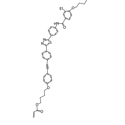 C=CC(=O)OCCCCOc1ccc(C#Cc2ccc(-c3nnc(-c4ccc(NC(=O)c5ccc(OCCCCOC(=O)C=C)c(CC)c5)cc4)s3)cc2)cc1